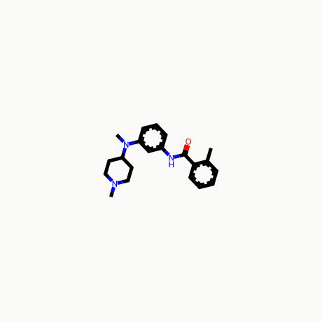 Cc1ccccc1C(=O)Nc1cccc(N(C)C2CCN(C)CC2)c1